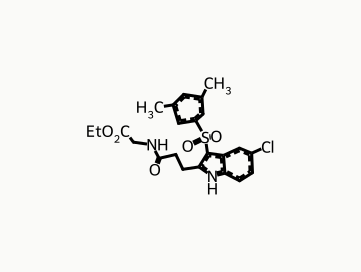 CCOC(=O)CNC(=O)CCc1[nH]c2ccc(Cl)cc2c1S(=O)(=O)c1cc(C)cc(C)c1